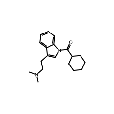 CN(C)CCc1cn(C(=O)C2CCCCC2)c2ccccc12